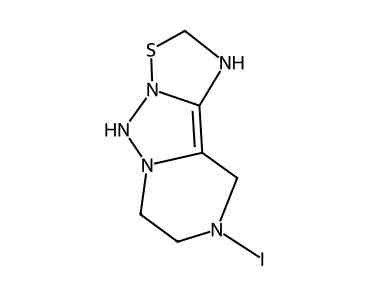 IN1CCN2NN3SCNC3=C2C1